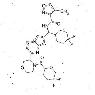 Cc1nonc1C(=O)N[C@H](c1cn2ncc([C@H]3COCCN3C(=O)[C@@H]3CCC(F)(F)CO3)nc2n1)C1CCC(F)(F)CC1